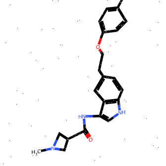 CN1CC(C(=O)Nc2c[nH]c3ccc(CCOc4ccc(C(F)(F)F)cc4)cc23)C1